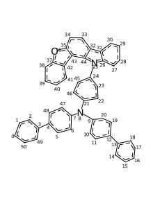 c1ccc(-c2ccc(N(c3ccc(-c4ccccc4)cc3)c3ccc(-n4c5ccccc5c5ccc6oc7ccccc7c6c54)cc3)cc2)cc1